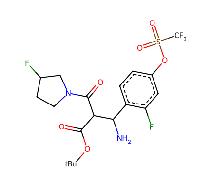 CC(C)(C)OC(=O)C(C(=O)N1CCC(F)C1)C(N)c1ccc(OS(=O)(=O)C(F)(F)F)cc1F